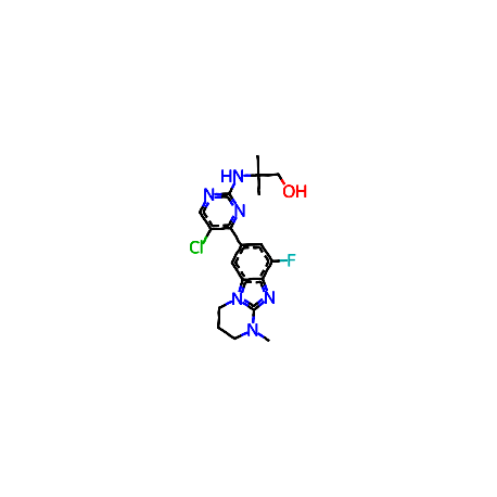 CN1CCCn2c1nc1c(F)cc(-c3nc(NC(C)(C)CO)ncc3Cl)cc12